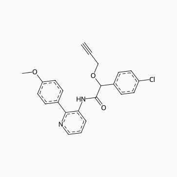 C#CCOC(C(=O)Nc1cccnc1-c1ccc(OC)cc1)c1ccc(Cl)cc1